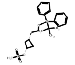 CC(C)(C)[Si](OCC[C@H]1C[C@@H](OS(C)(=O)=O)C1)(c1ccccc1)c1ccccc1